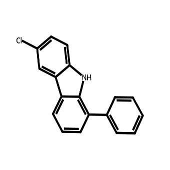 Clc1ccc2[nH]c3c(-c4ccccc4)cccc3c2c1